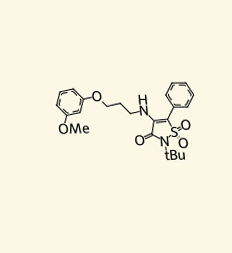 COc1cccc(OCCCNC2=C(c3ccccc3)S(=O)(=O)N(C(C)(C)C)C2=O)c1